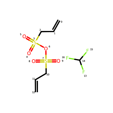 C=CCS(=O)(=O)OS(=O)(=O)CC=C.FC(F)F